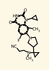 Cc1c(N2CCC(C3(N(C)CCC#N)CC3)C2)c(F)cc2c(=O)[nH]c(=O)n(C3CC3)c12